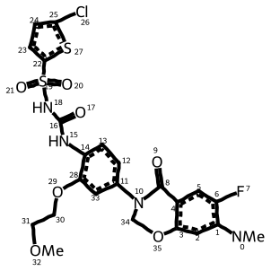 CNc1cc2c(cc1F)C(=O)N(c1ccc(NC(=O)NS(=O)(=O)c3ccc(Cl)s3)c(OCCOC)c1)CO2